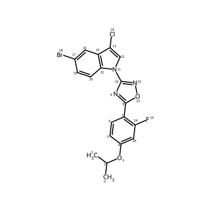 CC(C)Oc1ccc(-c2nc(-n3cc(Cl)c4cc(Br)ccc43)no2)c(F)c1